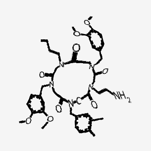 CCCCN1CC(=O)N(Cc2ccc(OC)c(OC)c2)CC(=O)N(Cc2ccc(C)c(C)c2)CC(=O)N(CCN)CC(=O)N(Cc2ccc(OC)c(OC)c2)CC1=O